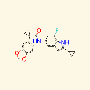 O=C(Nc1cc(F)c2[nH]c(C3CC3)cc2c1)C1(c2ccc3c(c2)OCO3)CC1